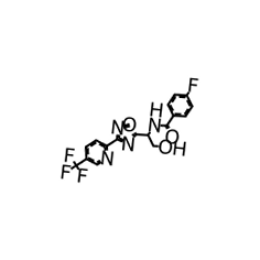 O=C(NC(CO)c1nc(-c2ccc(C(F)(F)F)cn2)no1)c1ccc(F)cc1